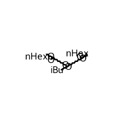 CCCCCC/C=C\COC(=O)CCCCCCCCOC(CCCC(C)CC)OCCCCCCCCC(=O)OC/C=C\CCCCCC